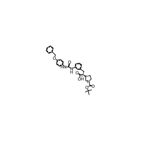 CC(C)(C)OC(=O)N1CC[C@H]([C@H](Cc2cccc(NC(=O)Nc3ccc(OCc4ccccc4)cc3)c2)C(=O)O)C1